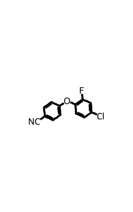 N#Cc1ccc(Oc2ccc(Cl)cc2F)cc1